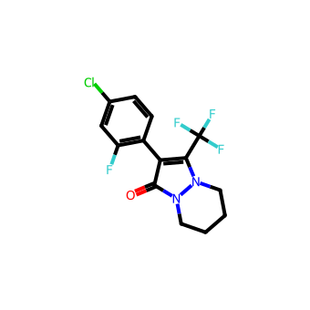 O=c1c(-c2ccc(Cl)cc2F)c(C(F)(F)F)n2n1CCCC2